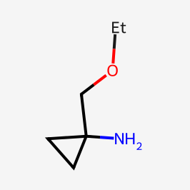 CCOCC1(N)CC1